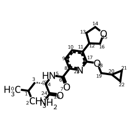 CC(C)C[C@H](NC(=O)c1ccc(C2CCOC2)c(OCC2CC2)n1)C(N)=O